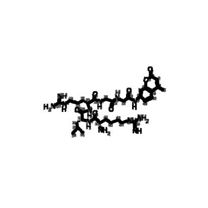 Cc1cc(=O)oc2cc(NC(=O)CNC(=O)CNC(=O)[C@H](CCCNC(=N)N)NC(=O)[C@@H](CC(C)C)NC(=O)[C@@H](N)CCCCNC(=N)N)ccc12